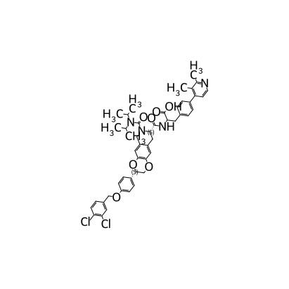 Cc1nccc(-c2ccc(CC(NC(=O)[C@@H]3Cc4cc5c(cc4CN3C(=O)N(C(C)C)C(C)C)O[C@@H](c3ccc(OCc4ccc(Cl)c(Cl)c4)cc3)CO5)C(=O)O)cc2)c1C